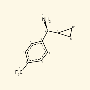 N[C@H](c1ccc(C(F)(F)F)cc1)C1CC1